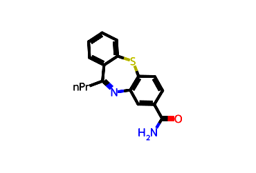 CCCC1=Nc2cc(C(N)=O)ccc2Sc2ccccc21